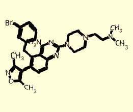 Cc1noc(C)c1-c1ccc2nc(N3CCN(CCN(C)C)CC3)nc(N)c2c1Cc1cccc(Br)c1